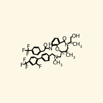 C[C@@H]1CN([C@@H](C)CO)C(=O)c2cccc(NC(=O)Cc3ccc(C(F)(F)F)cc3)c2O[C@@H]1CN(C)Cc1ccc(-c2ccc(C(F)(F)F)cc2F)cc1